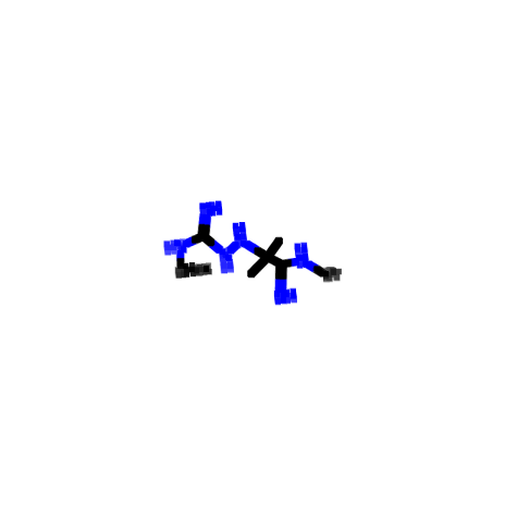 CCCCCCNC(=N)NNC(C)(C)C(=N)NC(C)C